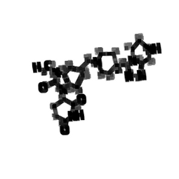 Cn1c(=O)n(C2CCC(=O)NC2=O)c2ccc(CN3CCC(c4nnc5n4CCNC5)CC3)cc21